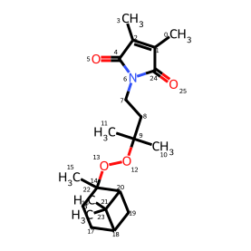 CC1=C(C)C(=O)N(CCC(C)(C)OOC2(C)CCC3CC2C3(C)C)C1=O